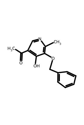 CC(=O)c1cnc(C)c(OCc2ccccc2)c1O